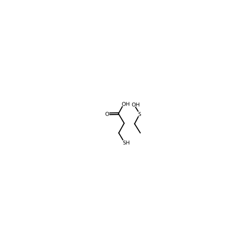 CCSO.O=C(O)CCS